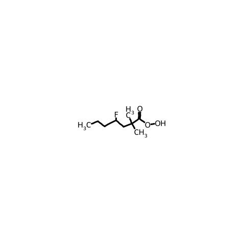 CCCC(F)CC(C)(C)C(=O)OO